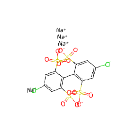 O=S(=O)([O-])c1cc(Cl)cc(S(=O)(=O)[O-])c1-c1c(S(=O)(=O)[O-])cc(Cl)cc1S(=O)(=O)[O-].[Na+].[Na+].[Na+].[Na+]